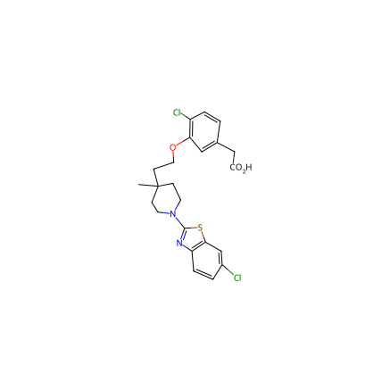 CC1(CCOc2cc(CC(=O)O)ccc2Cl)CCN(c2nc3ccc(Cl)cc3s2)CC1